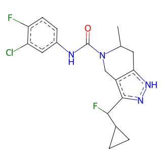 CC1Cc2[nH]nc(C(F)C3CC3)c2CN1C(=O)Nc1ccc(F)c(Cl)c1